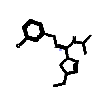 CCC1C=NN(/C(=N/Sc2cccc(Cl)c2)NC(C)C)C1